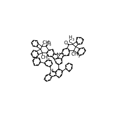 CC12C(=O)c3cc4c(cc3C3(C)c5ccccc5C13c1ccccc12)c1cc(-c2c(-c3ccccc3)ccc3c5ccccc5n(-c5cccc(-c6ccccc6)c5)c23)cc2c3cc5c(cc3n4c12)C(=O)C1(C)c2ccccc2C12c1ccccc1C52C